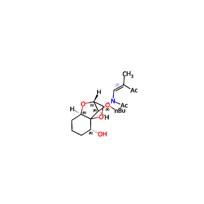 CCCCO[C@@H]1[C@@H]2O[C@@H]3CCC[C@@H](O)C13O[C@H]2N(/C=C(/C)C(C)=O)C(C)=O